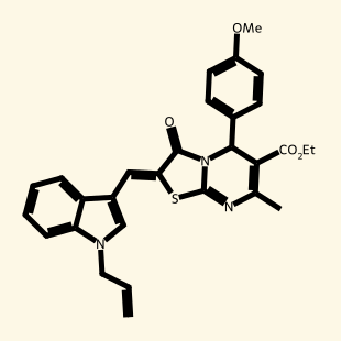 C=CCn1cc(/C=c2\sc3n(c2=O)C(c2ccc(OC)cc2)C(C(=O)OCC)=C(C)N=3)c2ccccc21